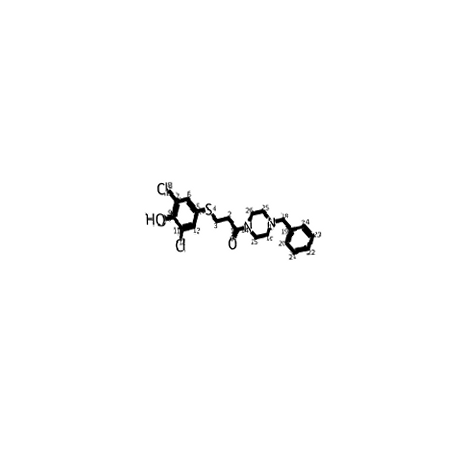 O=C(CCSc1cc(Cl)c(O)c(Cl)c1)N1CCN(Cc2ccccc2)CC1